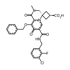 CN1C[C@]2(C[C@H](C(=O)O)C2)n2cc(C(=O)NCc3cccc(Cl)c3F)c(=O)c(OCc3ccccc3)c2C1=O